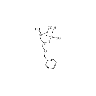 CC(C)(C)[Si](C)(C)O[C@H](COCc1ccccc1)C[C@@H](O)CC(=O)O